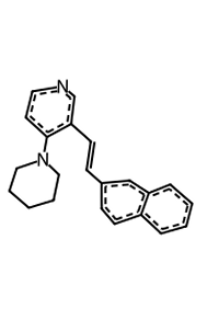 C(=Cc1cnccc1N1CCCCC1)c1ccc2ccccc2c1